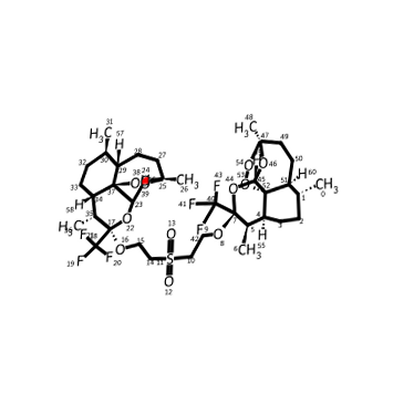 C[C@@H]1CC[C@H]2[C@@H](C)[C@](OCCS(=O)(=O)CCO[C@@]3(C(F)(F)F)O[C@@H]4O[C@]5(C)CC[C@H]6[C@H](C)CC[C@@H]([C@H]3C)[C@@]46OO5)(C(F)(F)F)O[C@@H]3O[C@]4(C)CC[C@@H]1[C@]32OO4